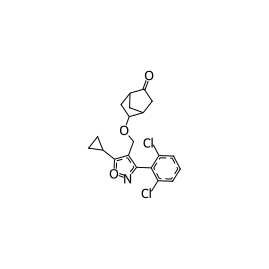 O=C1CC2CC1CC2OCc1c(-c2c(Cl)cccc2Cl)noc1C1CC1